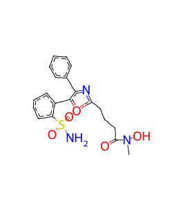 CN(O)C(=O)CCCc1nc(-c2ccccc2)c(-c2ccccc2S(N)(=O)=O)o1